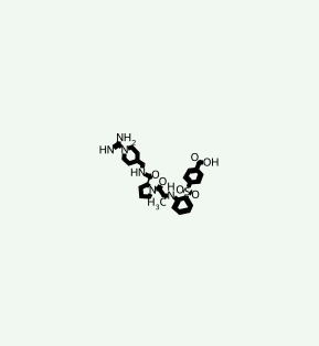 CC(Nc1ccccc1S(=O)(=O)c1ccc(C(=O)O)cc1)C(=O)N1CCC[C@H]1C(=O)NCC1CCN(C(=N)N)CC1